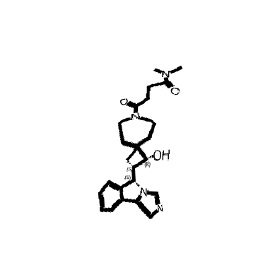 CN(C)C(=O)CCC(=O)N1CCC2(CC1)C[C@@H]([C@H]1c3ccccc3-c3cncn31)[C@H]2O